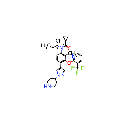 CC[C@H](C)N(C(=O)C1CC1)c1ccc(-c2cnn(C3CCNCC3)c2)c(Oc2ncccc2C(F)(F)F)c1C